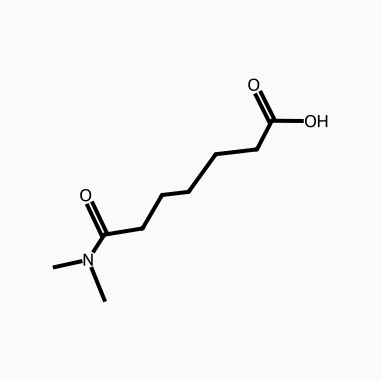 CN(C)C(=O)CCCCCC(=O)O